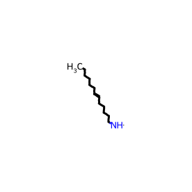 CCCCCCC=CCCCCC[NH]